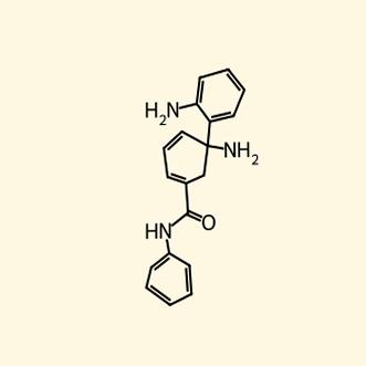 Nc1ccccc1C1(N)C=CC=C(C(=O)Nc2ccccc2)C1